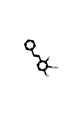 COc1c(C(C)C)ccc(/C=C/c2ccccc2)c1F